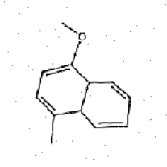 COC1=CC=C(C)C2C=CC=CC12